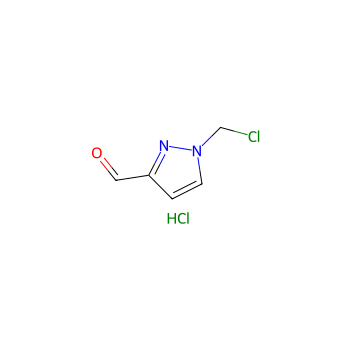 Cl.O=Cc1ccn(CCl)n1